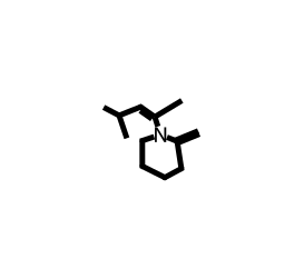 C=C1CCCCN1/C(C)=C\C(C)C